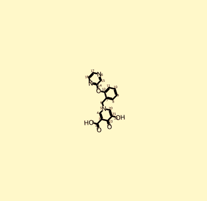 O=C(O)c1cn(Cc2ccccc2Oc2cnccn2)cc(O)c1=O